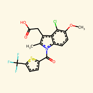 COc1ccc2c(c1Cl)c(CC(=O)O)c(C)n2C(=O)c1ccc(C(F)(F)F)s1